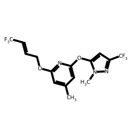 Cc1cc(OC/C=C/C(F)(F)F)nc(Oc2cc(C(F)(F)F)nn2C)c1